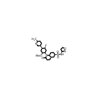 COc1cc(-c2ccc(C)nc2)c(F)cc1-n1c(=O)ccc2cc(S(=O)(=O)Nc3ccon3)ccc21